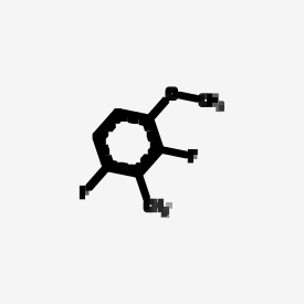 [CH2]c1c(F)ccc(OC)c1F